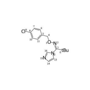 CC(C)(C)C(=NOCc1ccc(Cl)cc1)n1ccnc1